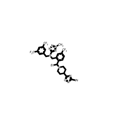 CCC(c1ccc(C(F)(F)F)cc1CN(Cc1cc(C(F)(F)F)cc(C(F)(F)F)c1)c1nnn(C)n1)N1CCC(c2nc(C(C)C)no2)CC1